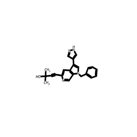 CC(C)(O)C#Cc1cc2c(-c3cn[nH]c3)cn(Cc3ccccc3)c2cn1